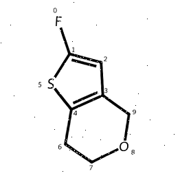 Fc1cc2c(s1)CCOC2